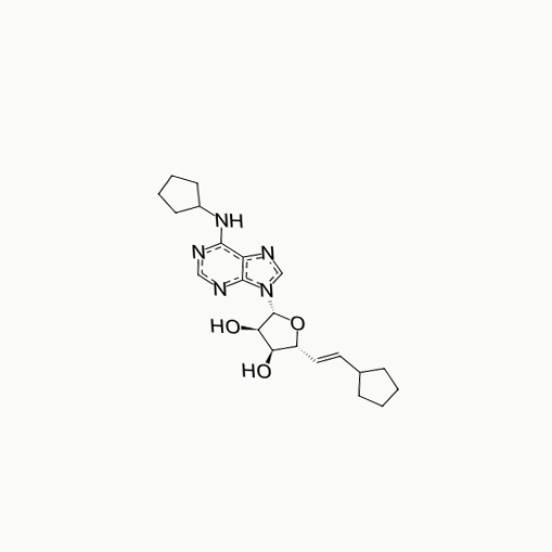 O[C@@H]1[C@H](O)[C@@H](C=CC2CCCC2)O[C@H]1n1cnc2c(NC3CCCC3)ncnc21